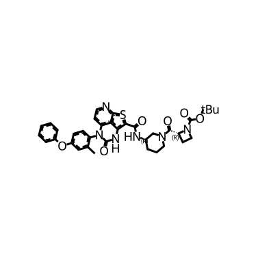 Cc1cc(Oc2ccccc2)ccc1N1C(=O)Nc2c(C(=O)N[C@@H]3CCCN(C(=O)[C@H]4CCN4C(=O)OC(C)(C)C)C3)sc3nccc1c23